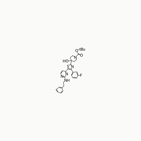 CC(C)(C)OC(=O)N1CCC(O)(c2nc(-c3cccc(F)c3)c(-c3ccnc(NCCc4ccccc4)n3)s2)CC1